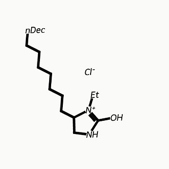 CCCCCCCCCCCCCCCCCC1CNC(O)=[N+]1CC.[Cl-]